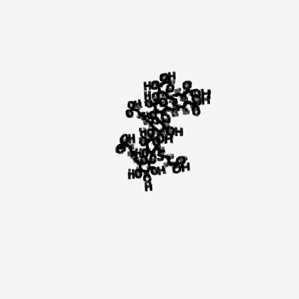 O=C(O)CCSCC1O[C@@H](O[C@@H]2C(CSCCC(=O)O)O[C@@H](O[C@H]3C(CSCCC(=O)O)OC[C@@H](O)C3O)[C@@H](O)C2O)[C@@H](O)C(O)[C@@H]1O[C@H]1OC(CSCCC(=O)O)[C@@H](O[C@H]2OC(CSCCC(=O)O)[C@@H](O)[C@H](O)C2O)[C@H](O)C1O